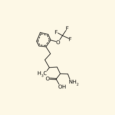 CC(CCc1ccccc1OC(F)(F)F)CC(CN)C(=O)O